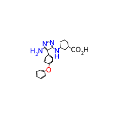 Nc1ncnc(NC2CCCC(C(=O)O)C2)c1-c1ccc(Oc2ccccc2)cc1